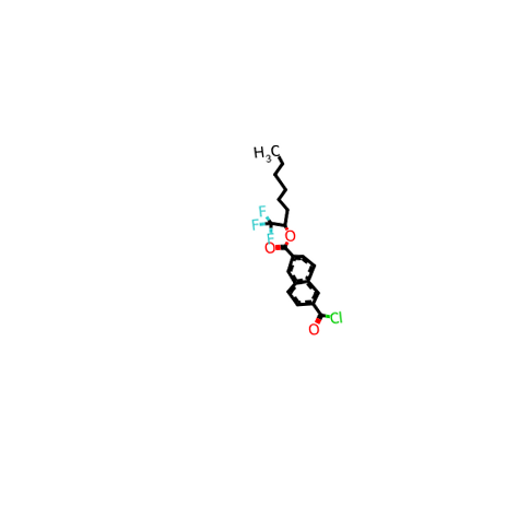 CCCCCCC(OC(=O)c1ccc2cc(C(=O)Cl)ccc2c1)C(F)(F)F